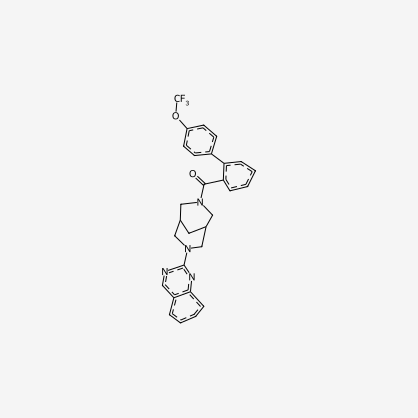 O=C(c1ccccc1-c1ccc(OC(F)(F)F)cc1)N1CC2CC(C1)CN(c1ncc3ccccc3n1)C2